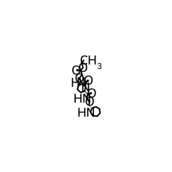 CCOC(=O)CON1C(=O)N2C[C@H]1CC[C@@H]2C(=O)NOC[C@@H]1CCCCCN1